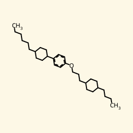 CCCCCCC1CCC(c2ccc(OCCCC3CCC(CCCC)CC3)cc2)CC1